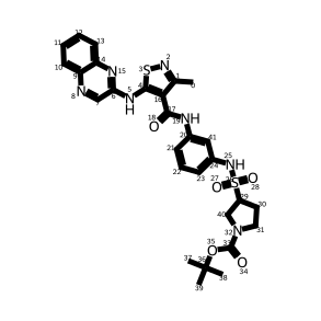 Cc1nsc(Nc2cnc3ccccc3n2)c1C(=O)Nc1cccc(NS(=O)(=O)C2CCN(C(=O)OC(C)(C)C)C2)c1